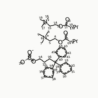 CCCC(=O)OCC[N+](C)(C)C.CCCC(=O)OCC[N+](C)(C)C.[O-]B([O-])OCCCC(c1ccccc1)(c1ccccc1)c1ccccc1